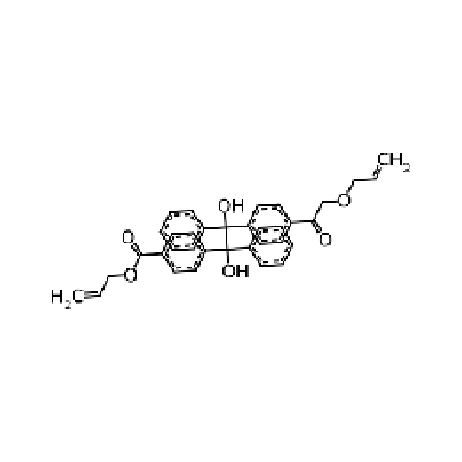 C=CCOCC(=O)c1ccc(C(O)(c2ccccc2)C(O)(c2ccccc2)c2ccc(C(=O)OCC=C)cc2)cc1